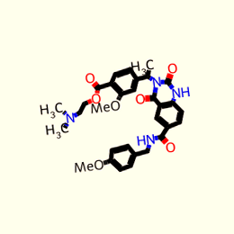 COc1ccc(CNC(=O)c2ccc3[nH]c(=O)n(C(C)c4ccc(C(=O)OCCN(C)C)c(OC)c4)c(=O)c3c2)cc1